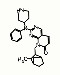 CC1C2CCC(C2)C1Cn1c(=O)ccc2cnc(N(c3ccccc3)C3CCNCC3)nc21